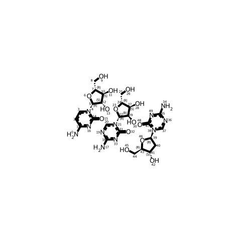 Nc1ccn([C@@H]2O[C@H](CO)[C@@H](O)[C@@H]2O)c(=O)n1.Nc1ncn([C@@H]2O[C@H](CO)[C@@H](O)[C@H]2O)c(=O)n1.Nc1ncn([C@H]2C[C@H](O)[C@@H](CO)O2)c(=O)n1